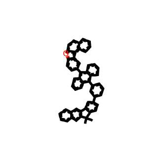 CC1(C)c2ccc(-c3cccc(-c4c5ccccc5c(-c5ccc6oc7ccc8ccccc8c7c6c5)c5ccccc45)c3)cc2-c2cc3ccccc3cc21